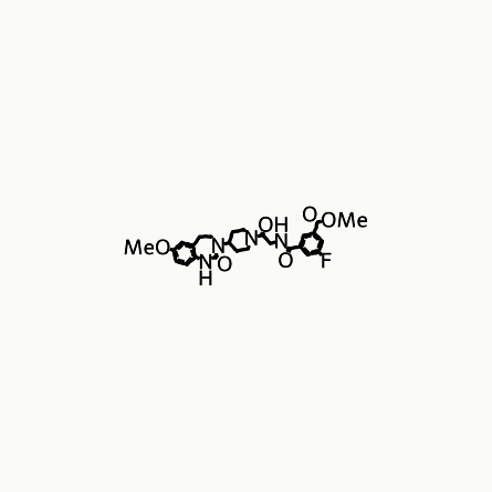 COC(=O)c1cc(F)cc(C(=O)NCC(=O)N2CCC(N3CCc4cc(OC)ccc4NC3=O)CC2)c1